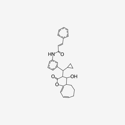 O=C(C=Cc1ccccc1)Nc1cccc(C(C2CC2)C2C(=O)OC3=CC=CCCCC3C2O)c1